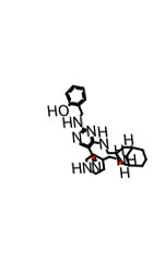 N#Cc1cnc(NCc2ccccc2O)nc1NCC1C[C@H]2CCC[C@@H](C1)[C@@H]2NCC1CCNCC1